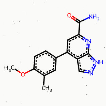 COc1ccc(-c2cc(C(N)=O)nc3[nH]ncc23)cc1C